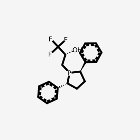 O[C@H](CP1[C@@H](c2ccccc2)CC[C@@H]1c1ccccc1)C(F)(F)F